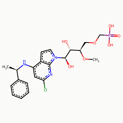 CO[C@H](COCP(=O)(O)O)[C@@H](O)[C@@H](O)n1ccc2c(N[C@H](C)c3ccccc3)cc(Cl)nc21